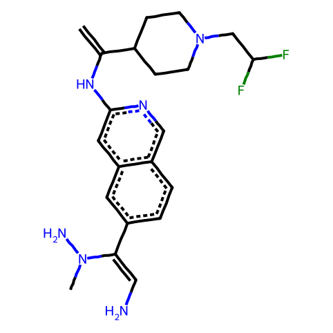 C=C(Nc1cc2cc(/C(=C/N)N(C)N)ccc2cn1)C1CCN(CC(F)F)CC1